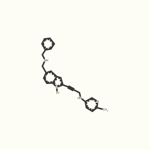 CCn1c(C#CCNc2ccc(C)nc2)cc2cc(CNCc3ccccc3)ccc21